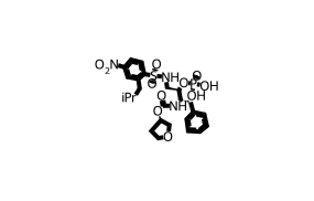 CC(C)Cc1cc([N+](=O)[O-])ccc1S(=O)(=O)NC[C@@H](OP(=O)(O)O)[C@H](Cc1ccccc1)NC(=O)O[C@H]1CCOC1